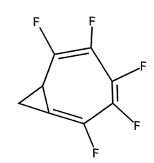 FC1=C(F)C(F)=C2CC2C(F)=C1F